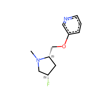 CN1C[C@@H](F)C[C@H]1COc1cccnc1